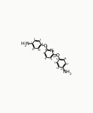 Nc1ccc(Oc2cccc(Oc3ccc(N)cc3)n2)cc1